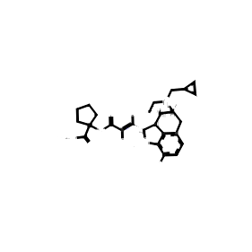 COC(=O)C1(NC(=O)/C(C)=C(\O)[C@@H]2Oc3c(O)ccc4c3[C@@]23CCN(CC2CC2)[C@H](C4)[C@@]3(C)O)CCCC1